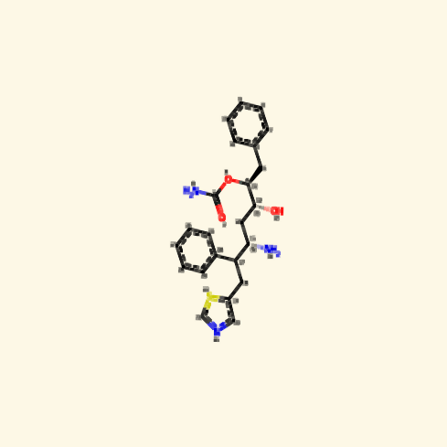 NC(=O)O[C@@H](Cc1ccccc1)[C@H](O)C[C@H](N)C(Cc1cncs1)c1ccccc1